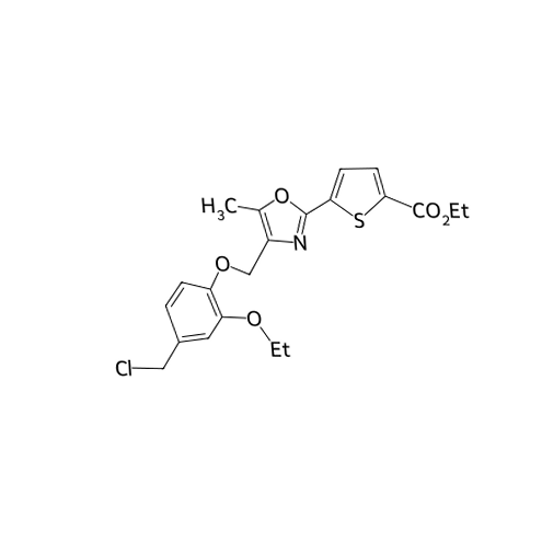 CCOC(=O)c1ccc(-c2nc(COc3ccc(CCl)cc3OCC)c(C)o2)s1